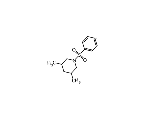 CC1CC(C)CN(S(=O)(=O)c2cc[c]cc2)C1